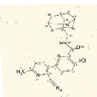 Cc1ccc(-c2ccc(Cl)c(C(=O)NCC34CC5CC(CC(C5)C3)C4)c2)c(C#N)n1